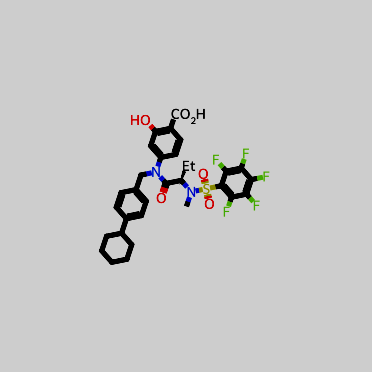 CC[C@H](C(=O)N(Cc1ccc(C2CCCCC2)cc1)c1ccc(C(=O)O)c(O)c1)N(C)S(=O)(=O)c1c(F)c(F)c(F)c(F)c1F